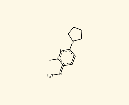 Cn1nc(N2CCCC2)ccc1=NN